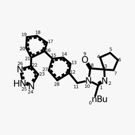 CCCCC1=NC2(CCCC2)C(=O)N1Cc1ccc(-c2ccccc2-c2cn[nH]n2)cc1